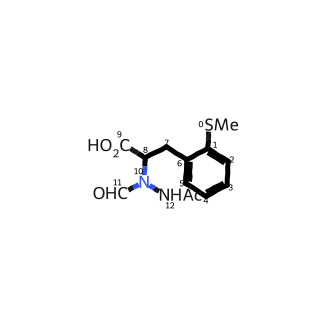 CSc1ccccc1CC(C(=O)O)N(C=O)NC(C)=O